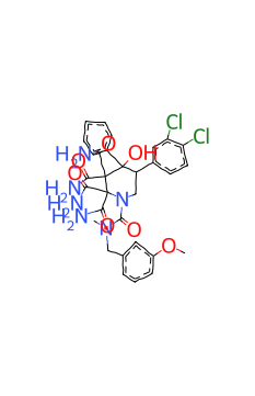 COc1cccc(CN(C)C(=O)N2CC(c3ccc(Cl)c(Cl)c3)C(O)(c3ccccc3)C(C(N)=O)(C(N)=O)C2(C(N)=O)C(N)=O)c1